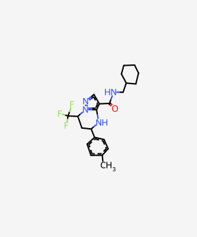 Cc1ccc(C2CC(C(F)(F)F)n3ncc(C(=O)NCC4CCCCC4)c3N2)cc1